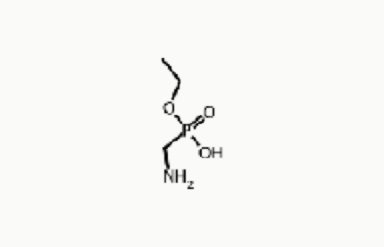 CCOP(=O)(O)CN